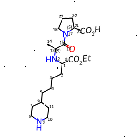 CCOC(=O)C(CCCCC1CCNCC1)N[C@@H](C)C(=O)N1CCC[C@H]1C(=O)O